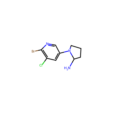 NC1CCCN1c1cnc(Br)c(Cl)c1